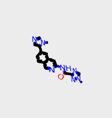 Cn1cnc(C(=O)Nc2cc3cc(-c4cncn4C)ccc3cn2)n1